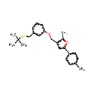 Cc1ccc(-c2cc(COc3cccc(CSC(C)(C)C)c3)c(C)o2)cc1